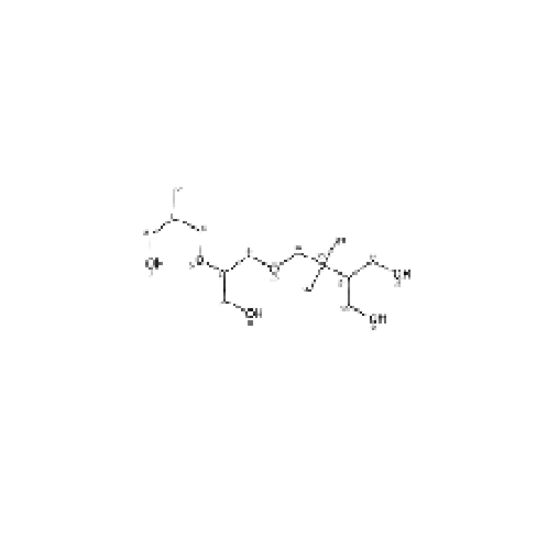 CC(CO)COC(CO)COCC(C)(C)C(CO)CO